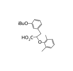 Cc1cccc(C)c1OC(Cc1cccc(OCC(C)C)c1)C(=O)O